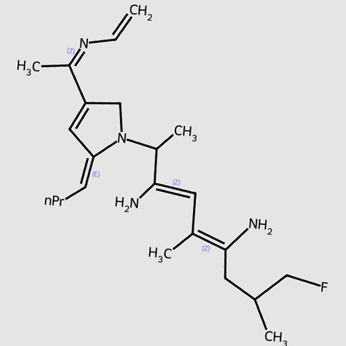 C=C/N=C(/C)C1=C/C(=C\CCC)N(C(C)/C(N)=C/C(C)=C(\N)CC(C)CF)C1